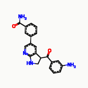 NC(=O)c1cccc(-c2cnc3c(c2)C(C(=O)c2cccc(N)c2)CN3)c1